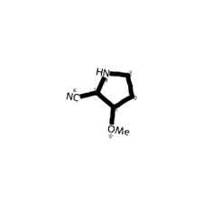 COC1C[CH]NC1C#N